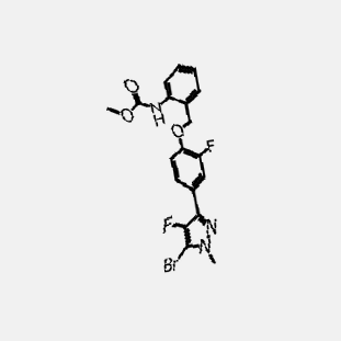 COC(=O)Nc1ccccc1COc1ccc(-c2nn(C)c(Br)c2F)cc1F